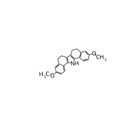 COc1ccc2c(c1)CCc1c-2[nH]c2c1CCc1cc(OC)ccc1-2